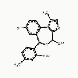 COc1cc(C)ccc1C1OC(OC(C)=O)c2nnc(C(F)(F)F)n2-c2ccc(Cl)cc21